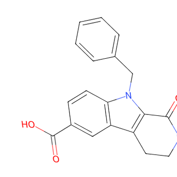 O=C(O)c1ccc2c(c1)c1c(n2Cc2ccccc2)C(=O)NCC1